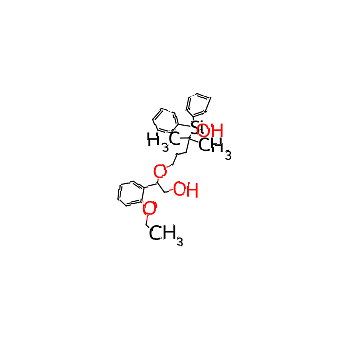 CCOc1ccccc1C(CO)OCCCC(C)(C)[Si](O)(c1ccccc1)c1ccccc1